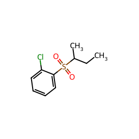 CCC(C)S(=O)(=O)c1ccccc1Cl